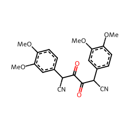 COc1ccc(C(C#N)C(=O)C(=O)C(C#N)c2ccc(OC)c(OC)c2)cc1OC